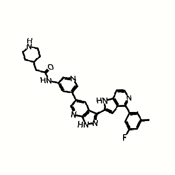 Cc1cc(F)cc(-c2nccc3[nH]c(-c4n[nH]c5ncc(-c6cncc(NC(=O)CC7CCNCC7)c6)cc45)cc23)c1